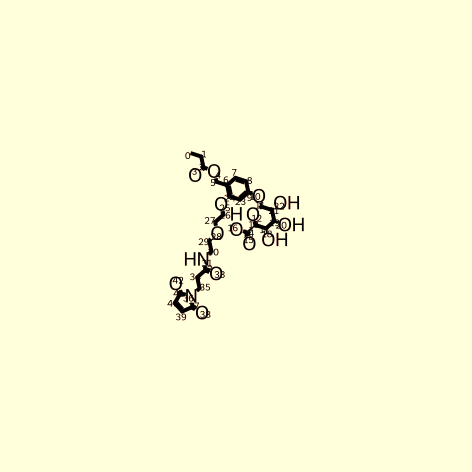 CCC(=O)OCc1ccc(O[C@@H]2O[C@H](C(=O)O)[C@@H](O)[C@H](O)[C@H]2O)cc1OCCOCCNC(=O)CCN1C(=O)C=CC1=O